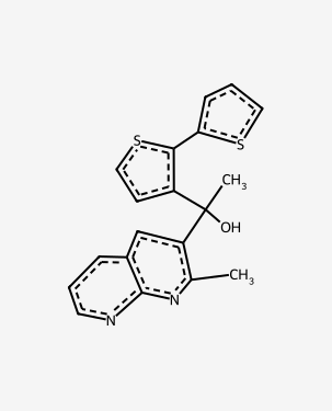 Cc1nc2ncccc2cc1C(C)(O)c1ccsc1-c1cccs1